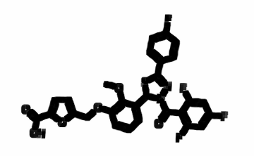 COc1c(OCc2ccc(C(=O)O)o2)cccc1C1SC(c2ccc(F)cc2)=NN1C(=O)c1c(F)cc(F)cc1F